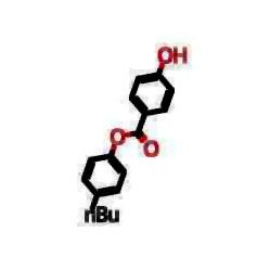 CCCCc1ccc(OC(=O)c2ccc(O)cc2)cc1